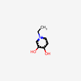 CC[n+]1ccc(O)c(O)c1